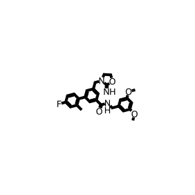 COc1cc(CNC(=O)c2cc(CN3CCOC3=N)cc(-c3ccc(F)cc3C)c2)cc(OC)c1